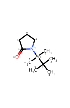 CC(C)(C)[Si](C)(C)N1CCCC1=O